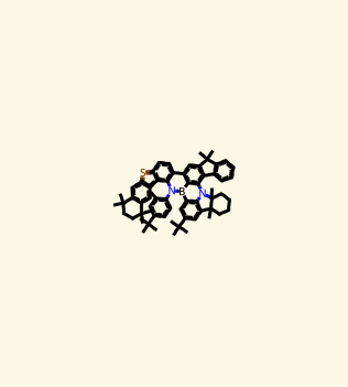 Cc1cc(C(C)(C)C)ccc1N1B2c3cc(C(C)(C)C)cc4c3N(c3c2c(cc2c3-c3ccccc3C2(C)C)-c2ccc3sc5cc6c(cc5c3c21)C(C)(C)CCC6(C)C)C1(C)CCCCC41C